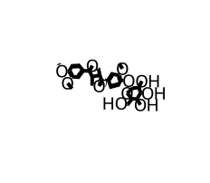 COc1ccc(C2OCC3C2CO[C@@H]3c2ccc(OC3OC(CO)C(O)C(O)C3O)c(OC)c2)cc1OC